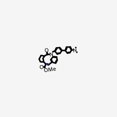 COC(=O)/C1=C/c2cccc(c2)N(Cc2ccc(-c3ccc(N(C)C)cc3)cc2)C(=O)C2CCCC1C2